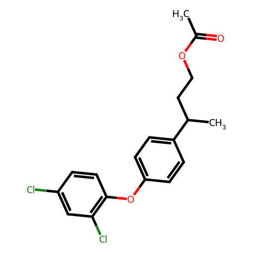 CC(=O)OCCC(C)c1ccc(Oc2ccc(Cl)cc2Cl)cc1